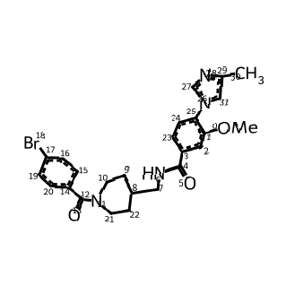 COc1cc(C(=O)NCC2CCN(C(=O)c3ccc(Br)cc3)CC2)ccc1-n1cnc(C)c1